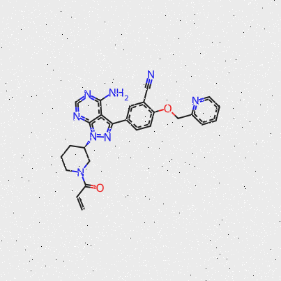 C=CC(=O)N1CCC[C@@H](n2nc(-c3ccc(OCc4ccccn4)c(C#N)c3)c3c(N)ncnc32)C1